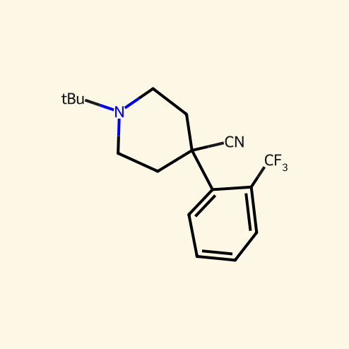 CC(C)(C)N1CCC(C#N)(c2ccccc2C(F)(F)F)CC1